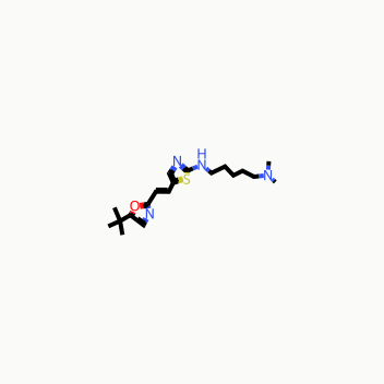 CN(C)CCCCCNc1ncc(C=Cc2ncc(C(C)(C)C)o2)s1